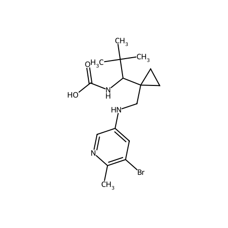 Cc1ncc(NCC2(C(NC(=O)O)C(C)(C)C)CC2)cc1Br